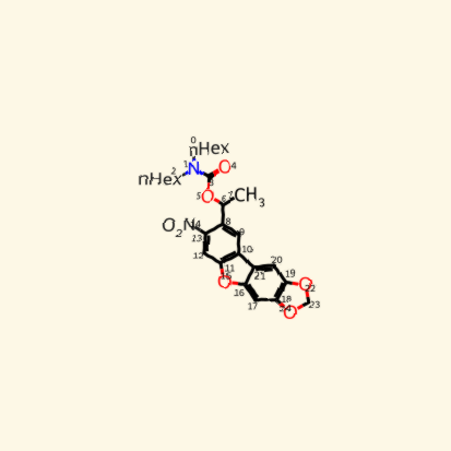 CCCCCCN(CCCCCC)C(=O)OC(C)c1cc2c(cc1[N+](=O)[O-])oc1cc3c(cc12)OCO3